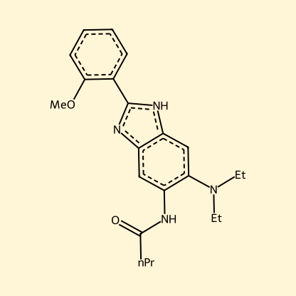 CCCC(=O)Nc1cc2nc(-c3ccccc3OC)[nH]c2cc1N(CC)CC